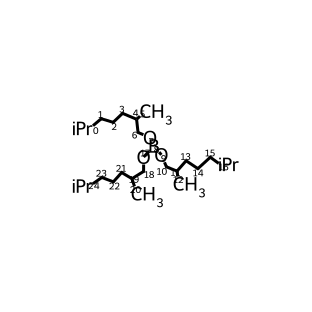 CC(C)CCCC(C)COB(OCC(C)CCCC(C)C)OCC(C)CCCC(C)C